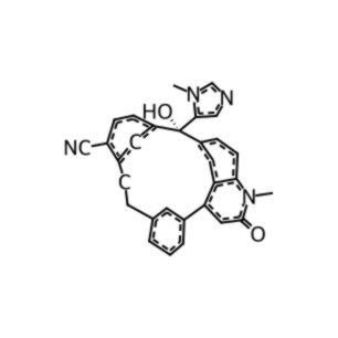 Cn1cncc1[C@]1(O)c2ccc(C#N)c(c2)CCc2cccc(c2)-c2cc(=O)n(C)c3ccc1cc23